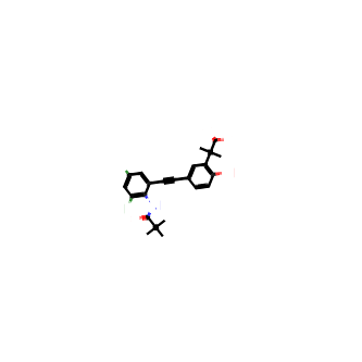 CC(C)(C)C(=O)Nc1c(F)cc(F)cc1C#Cc1ccc(O)c(C(C)(C)C(=O)O)c1